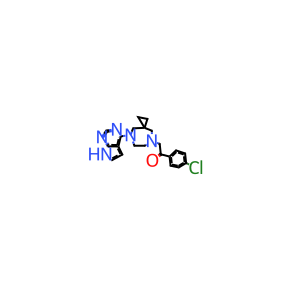 O=C(CN1CCN(c2ncnc3[nH]ccc23)CC2(CC2)C1)c1ccc(Cl)cc1